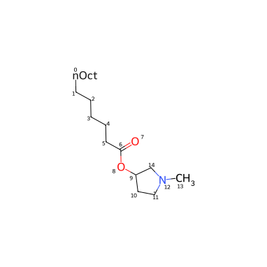 CCCCCCCCCCCCCC(=O)OC1C[CH]N(C)C1